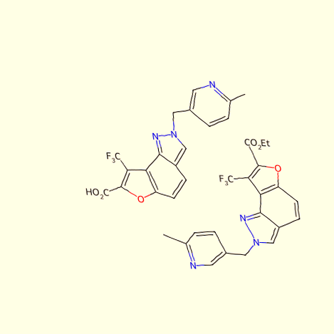 CCOC(=O)c1oc2ccc3cn(Cc4ccc(C)nc4)nc3c2c1C(F)(F)F.Cc1ccc(Cn2cc3ccc4oc(C(=O)O)c(C(F)(F)F)c4c3n2)cn1